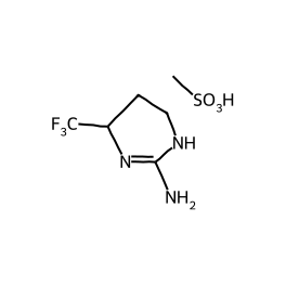 CS(=O)(=O)O.NC1=NC(C(F)(F)F)CCN1